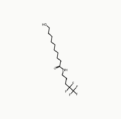 O=C(CCCCCCCCCO)NCCCC(F)(F)C(F)(F)F